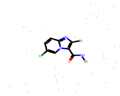 CCNC(=O)c1c(CC)nc2ccc(Cl)cn12